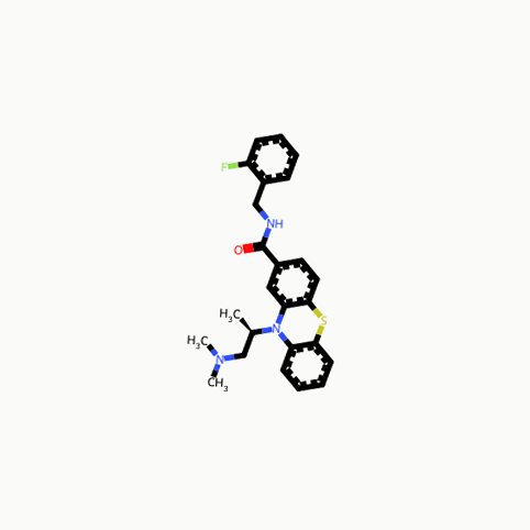 C[C@H](CN(C)C)N1c2ccccc2Sc2ccc(C(=O)NCc3ccccc3F)cc21